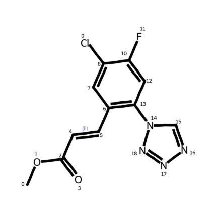 COC(=O)/C=C/c1cc(Cl)c(F)cc1-n1cnnn1